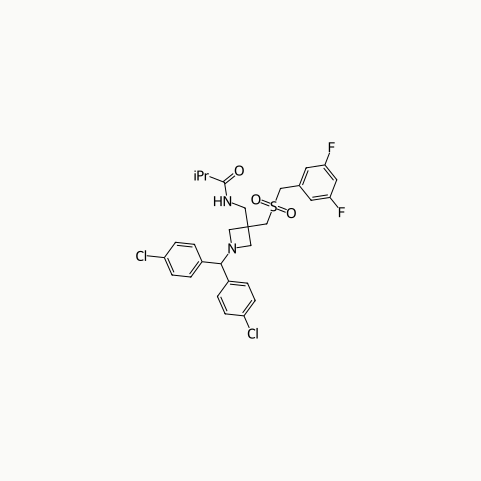 CC(C)C(=O)NCC1(CS(=O)(=O)Cc2cc(F)cc(F)c2)CN(C(c2ccc(Cl)cc2)c2ccc(Cl)cc2)C1